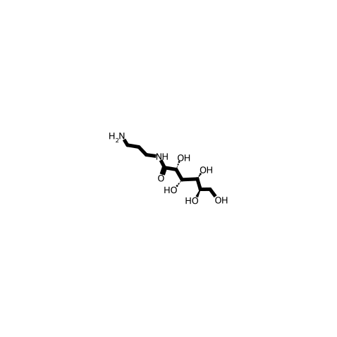 NCCCNC(=O)[C@H](O)[C@@H](O)[C@H](O)[C@H](O)CO